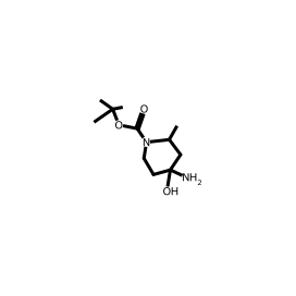 CC1CC(N)(O)CCN1C(=O)OC(C)(C)C